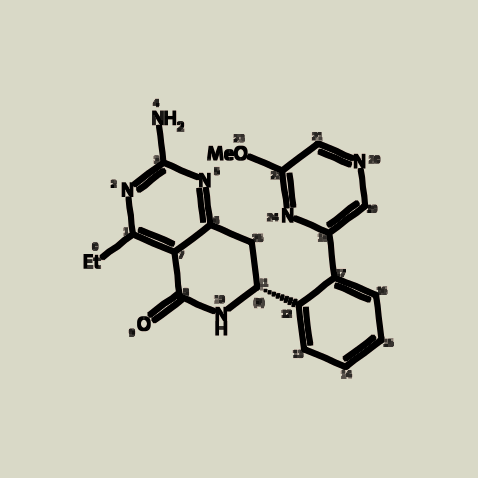 CCc1nc(N)nc2c1C(=O)N[C@@H](c1ccccc1-c1cncc(OC)n1)C2